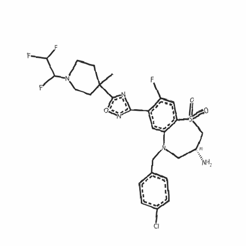 CC1(c2nc(-c3cc4c(cc3F)S(=O)(=O)C[C@H](N)CN4Cc3ccc(Cl)cc3)no2)CCN(C(F)C(F)F)CC1